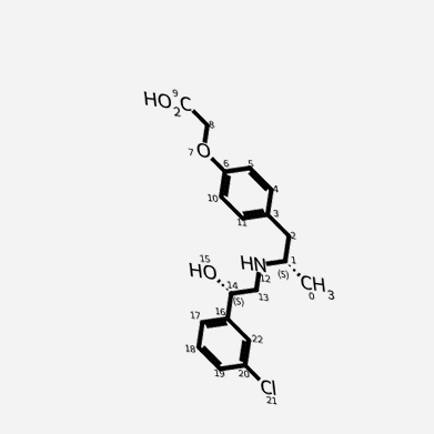 C[C@@H](Cc1ccc(OCC(=O)O)cc1)NC[C@@H](O)c1cccc(Cl)c1